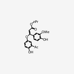 CCCOC(=O)/C=C(/Oc1ccc(O)c(C(C)=O)c1)c1ccc(O)c(OC)c1